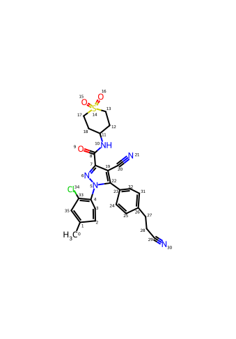 Cc1ccc(-n2nc(C(=O)NC3CCS(=O)(=O)CC3)c(C#N)c2-c2ccc(CCC#N)cc2)c(Cl)c1